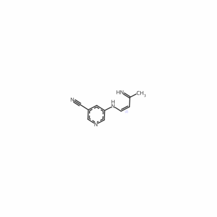 CC(=N)/C=C\Nc1cncc(C#N)c1